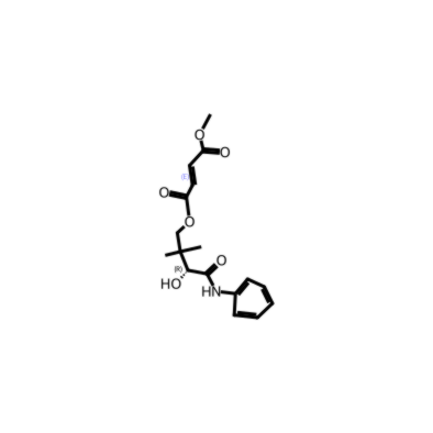 COC(=O)/C=C/C(=O)OCC(C)(C)[C@@H](O)C(=O)Nc1ccccc1